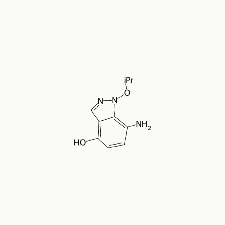 CC(C)On1ncc2c(O)ccc(N)c21